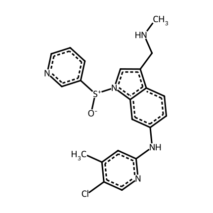 CNCc1cn([S+]([O-])c2cccnc2)c2cc(Nc3cc(C)c(Cl)cn3)ccc12